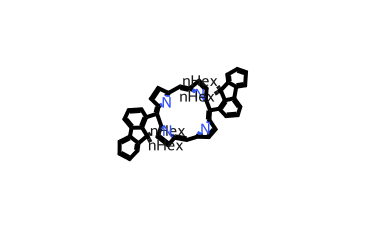 CCCCCCC1(CCCCCC)c2ccccc2-c2cccc(C3=C4C=CC(=N4)C=C4C=CC(=N4)C(c4cccc5c4C(CCCCCC)(CCCCCC)c4ccccc4-5)=C4C=CC(=N4)C=C4C=CC3=N4)c21